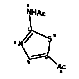 CC(=O)Nc1ncc(C(C)=O)s1